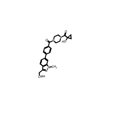 COCc1nn(C)c2cc(-c3ccc(C(=O)N4CCN(C(=O)C5(O)CC5)CC4)cc3)ccc12